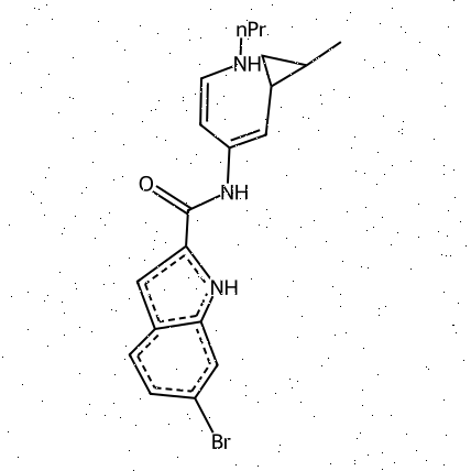 CCCN/C=C\C(=C/C1CC1C)NC(=O)c1cc2ccc(Br)cc2[nH]1